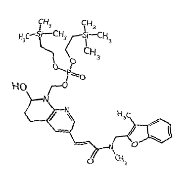 Cc1c(CN(C)C(=O)/C=C/c2cnc3c(c2)CCC(O)N3COP(=O)(OCC[Si](C)(C)C)OCC[Si](C)(C)C)oc2ccccc12